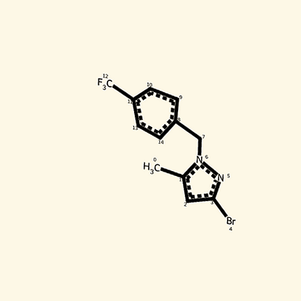 Cc1cc(Br)nn1Cc1ccc(C(F)(F)F)cc1